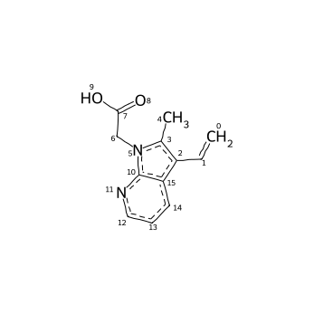 C=Cc1c(C)n(CC(=O)O)c2ncccc12